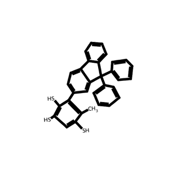 Cc1c(S)cc(S)c(S)c1-c1ccc2c(c1)C(c1ccccc1)(c1ccccc1)c1ccccc1-2